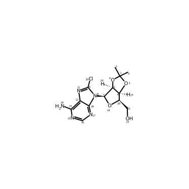 CC1(C)O[C@@H]2[C@H](O1)[C@H](n1c(Cl)nc3c(N)ncnc31)O[C@@H]2CO